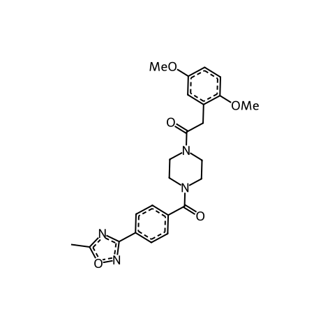 COc1ccc(OC)c(CC(=O)N2CCN(C(=O)c3ccc(-c4noc(C)n4)cc3)CC2)c1